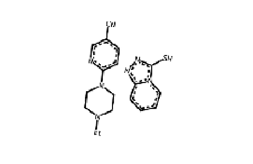 CCN1CCN(c2ccc(C#N)cn2)CC1.Sc1nnc2ccccn12